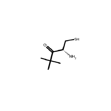 CC(C)(C)C(=O)[C@@H](N)CS